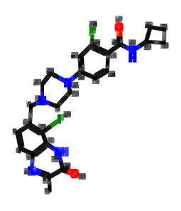 Cc1nc2ccc(CN3CCN(c4ccc(C(=O)NC5CCC5)c(F)c4)CC3)c(F)c2[nH]c1=O